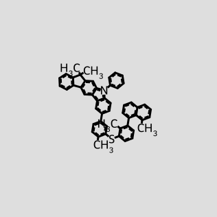 Cc1ccc(-c2ccc3c(c2)c2cc4c(cc2n3-c2ccccc2)C(C)(C)c2ccccc2-4)cc1Sc1cccc(-c2cccc3cccc(C)c23)c1C